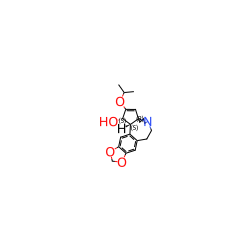 CC(C)OC1=C[C@]23CCCN2CCc2cc4c(cc2[C@@H]3[C@@H]1O)OCO4